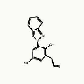 C=CCc1cc(C(C)(C)C)cc(-n2nc3ccccc3n2)c1O